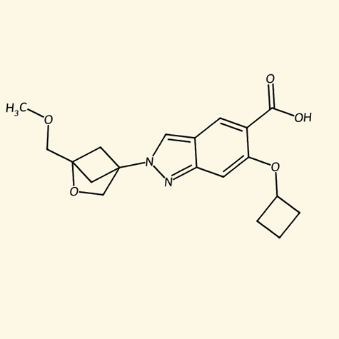 COCC12CC(n3cc4cc(C(=O)O)c(OC5CCC5)cc4n3)(CO1)C2